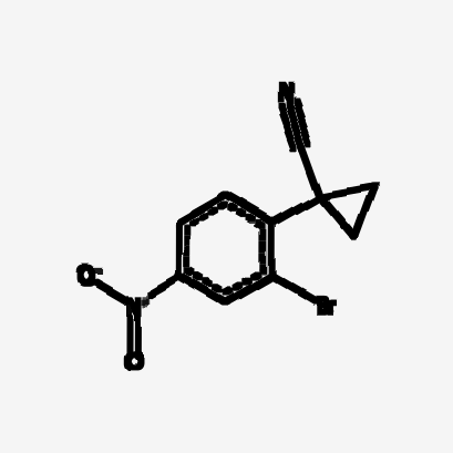 N#CC1(c2ccc([N+](=O)[O-])cc2Br)CC1